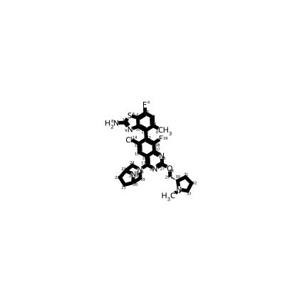 Cc1cc(F)c2sc(N)nc2c1-c1c(Cl)cc2c(N3CC4CCC(C3)N4)nc(OC[C@@H]3CCCN3C)nc2c1F